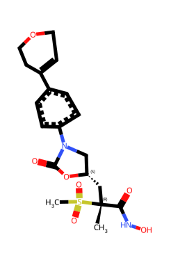 C[C@@](C[C@H]1CN(c2ccc(C3=CCOCC3)cc2)C(=O)O1)(C(=O)NO)S(C)(=O)=O